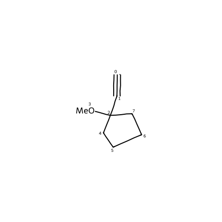 [C]#CC1(OC)CCCC1